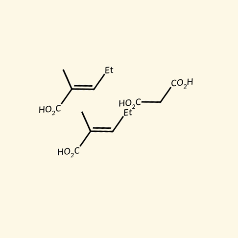 CCC=C(C)C(=O)O.CCC=C(C)C(=O)O.O=C(O)CC(=O)O